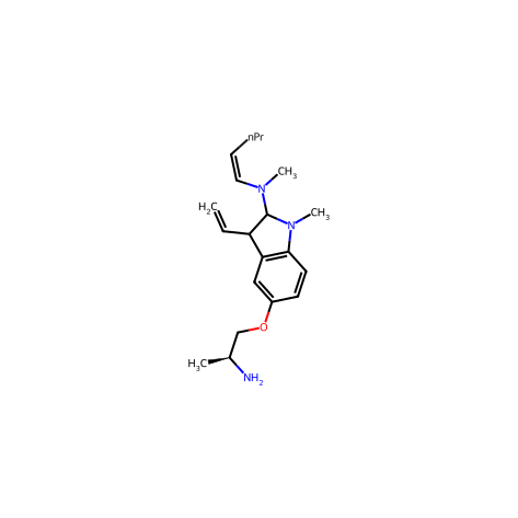 C=CC1c2cc(OC[C@H](C)N)ccc2N(C)C1N(C)/C=C\CCC